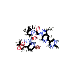 CC(=O)c1nn(CC(=O)N2[C@H](C(=O)Nc3nc(Br)ccc3C3COC(C)(C)O3)C[C@@]3(C)C[C@@H]23)c2cnc(-c3cnc(C)nc3)cc12